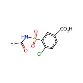 CCC(=O)NS(=O)(=O)c1cc(C(=O)O)ccc1Cl